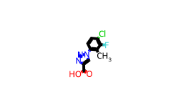 Cc1c(-n2cc(C(=O)O)nn2)ccc(Cl)c1F